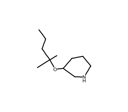 CCCC(C)(C)OC1CCCNC1